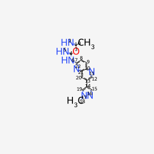 CC(=N)OC(=N)Nc1ccc2ncc(-c3cnn(C)c3)cc2n1